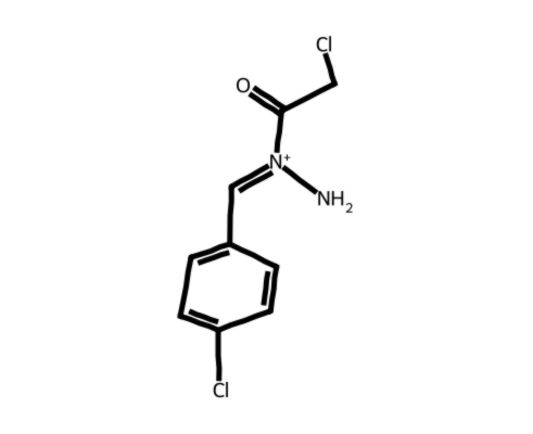 N[N+](=Cc1ccc(Cl)cc1)C(=O)CCl